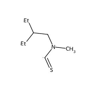 CCC(CC)CN(C)[C]=S